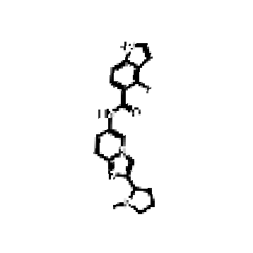 CN1CCCC1c1cn2cc(NC(=O)c3ccc4[nH]ccc4c3F)ccc2n1